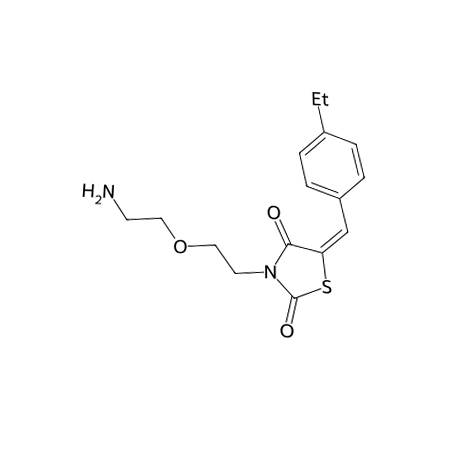 CCc1ccc(C=C2SC(=O)N(CCOCCN)C2=O)cc1